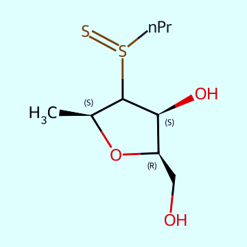 CCCS(=S)C1[C@H](C)O[C@H](CO)[C@@H]1O